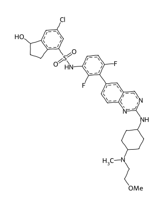 COCCN(C)C1CCC(Nc2ncc3cc(-c4c(F)ccc(NS(=O)(=O)c5cc(Cl)cc6c5CCC6O)c4F)ccc3n2)CC1